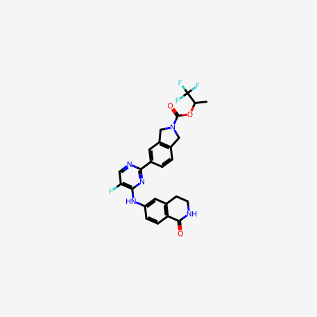 CC(OC(=O)N1Cc2ccc(-c3ncc(F)c(Nc4ccc5c(c4)CCNC5=O)n3)cc2C1)C(F)(F)F